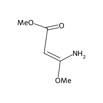 COC(=O)C=C(N)OC